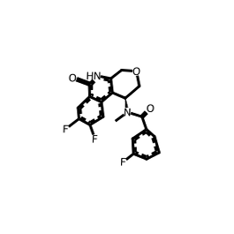 CN(C(=O)c1cccc(F)c1)[C@@H]1COCc2[nH]c(=O)c3cc(F)c(F)cc3c21